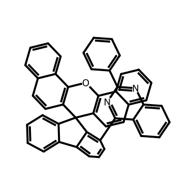 c1ccc(-c2nc(-c3cccc4c3C3(c5ccccc5-4)c4ccc5ccccc5c4Oc4c3ccc3ccccc43)c3ccccc3n2)cc1